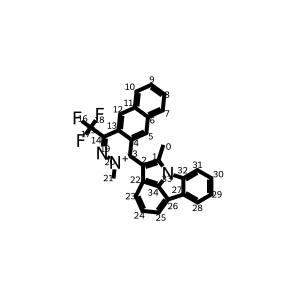 Cc1c(-c2c3cc4ccccc4cc3c(C(F)(F)F)n[n+]2C)c2cccc3c4ccccc4n1c23